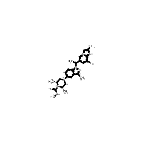 Cc1cn2cc(C(C)n3nc(C)c4cc(N5C[C@H](C)N(C(=O)OC(C)(C)C)[C@@H](C)C5)ccc43)cc(F)c2n1